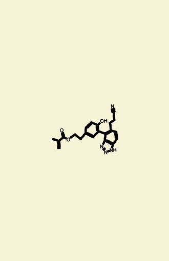 C=C(C)C(=O)OCCc1ccc(O)c(-c2c(CCC#N)ccc3[nH]nnc23)c1